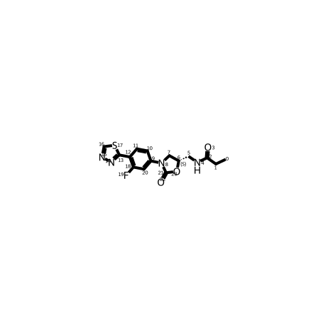 CCC(=O)NC[C@H]1CN(c2ccc(-c3nncs3)c(F)c2)C(=O)O1